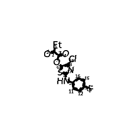 CCC(=O)C(=O)Oc1sc(Nc2ccc(F)cc2)nc1Cl